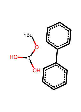 CCCCOB(O)O.c1ccc(-c2ccccc2)cc1